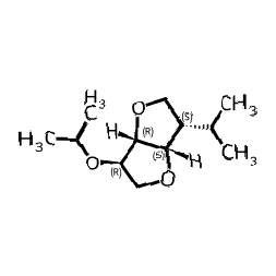 CC(C)O[C@@H]1CO[C@@H]2[C@H]1OC[C@@H]2C(C)C